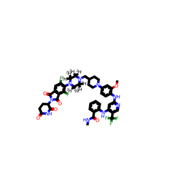 [2H]C1([2H])N(CC2CCN(c3ccc(Nc4cc(Nc5ccccc5C(=O)NC)c(C(F)(F)F)cn4)c(OC)c3)CC2)C([2H])([2H])C([2H])([2H])N(c2c(F)cc3c(c2F)C(=O)N(C2CCC(=O)NC2=O)C3=O)C1([2H])[2H]